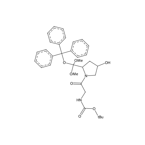 COC(OC)(OC(c1ccccc1)(c1ccccc1)c1ccccc1)C1CC(O)CN1C(=O)CNC(=O)OC(C)(C)C